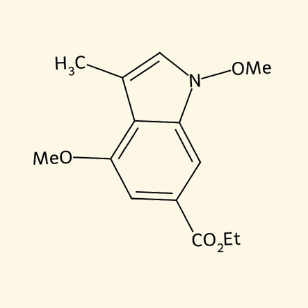 CCOC(=O)c1cc(OC)c2c(C)cn(OC)c2c1